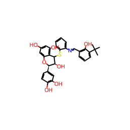 CC(C)(C)c1cccc(/C=N/c2ccccc2SC2c3c(O)cc(O)cc3O[C@H](c3ccc(O)c(O)c3)[C@@H]2O)c1O